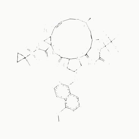 COc1cccc2c(O[C@@H]3C[C@H]4C(=O)N[C@]5(C(=O)NS(=O)(=O)C6(C)CC6)C[C@H]5/C=C\CC[C@@H](C)C[C@@H](C)[C@H](N(C(=O)O)C(C)(C)C(F)(F)F)C(=O)N4C3)nccc12